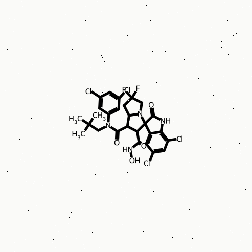 CC(C)(C)CN(C(=O)C1C2CC(F)(F)CN2C2(C(=O)Nc3c(Cl)cc(Cl)cc32)C1C(=O)NO)c1cc(Cl)cc(Cl)c1